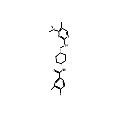 Cc1cc(C(=O)N[C@H]2CC[C@@H](CNc3ncc(C)c(N(C)C)n3)CC2)ccc1F